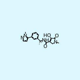 C[C@@H](NC(=O)C1=C(O)C(=O)N(C)C1)c1cccc(-c2ccnn2C)c1